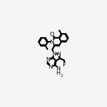 Cc1ccccc1-n1c(Cn2nc(CF)c3c(N)ncnc32)cc2cccc(C)c2c1=O